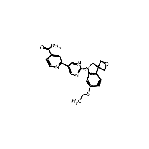 CCSc1ccc2c(c1)N(c1ncc(-c3cc(C(N)=O)ccn3)cn1)CC21COC1